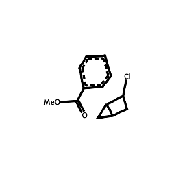 COC(=O)c1ccccc1.ClC1CC2CC12